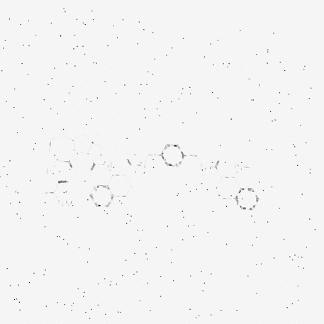 CN[C@@H](C)C(=O)N[C@H]1CCSC2CC(C)(C)[C@@H](C(=O)N[C@@H]3c4ccccc4CC[C@H]3C(=O)NCc3ccc(CNC(=O)[C@@H]4CCc5ccccc5[C@@H]4NC=O)cc3)N2C1=O